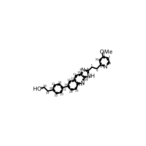 COc1ccnc(CCc2nc3cc4cc(-c5ccc(CCO)cc5)ccc4nc3[nH]2)c1